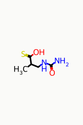 CC(CNC(N)=O)C(O)=S